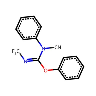 N#CN(C(=NC(F)(F)F)Oc1ccccc1)c1ccccc1